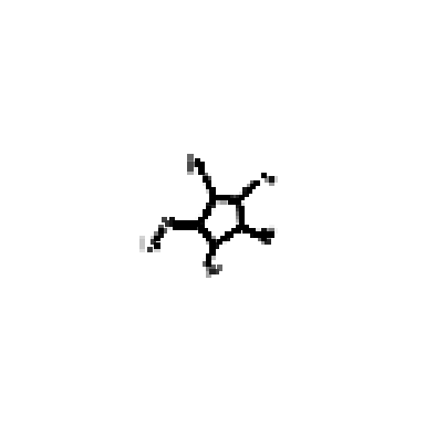 CC(C)C1C(=NO)C(C(C)C)C(C(C)C)C1C(C)C